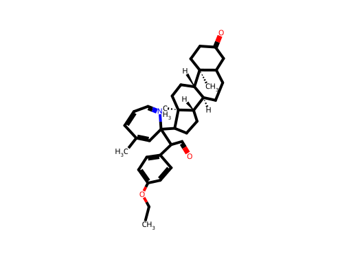 CCOc1ccc(C(C=O)C2(C3CC[C@H]4[C@@H]5CCC6CC(=O)CC[C@]6(C)[C@H]5CC[C@]34C)C=C(C)C=CC=N2)cc1